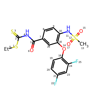 CCSC(=S)NC(=O)c1ccc(NS(C)(=O)=O)c(Oc2ccc(F)cc2F)c1